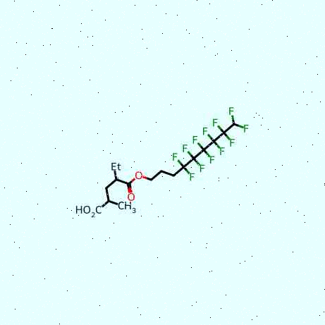 CCC(CC(C)C(=O)O)C(=O)OCCCC(F)(F)C(F)(F)C(F)(F)C(F)(F)C(F)(F)C(F)F